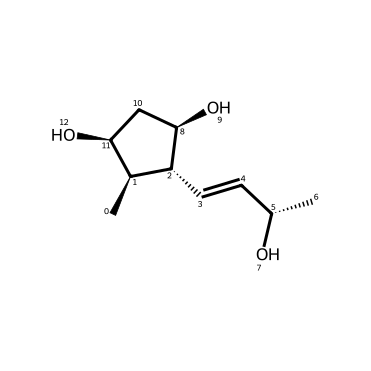 C[C@@H]1[C@@H](/C=C/[C@H](C)O)[C@H](O)C[C@@H]1O